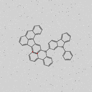 c1ccc(-c2ccccc2N(c2ccc3c(c2)-c2c4ccccc4cc4cccc-3c24)c2ccc3c4ccccc4n(-c4ccccc4)c3c2)cc1